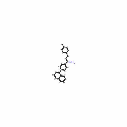 Cc1ccc(C/C=C(\N)c2ccc(-c3cccc4ccccc34)cc2)cc1